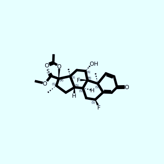 COC(=S)[C@@]1(OC(C)=O)[C@@H](C)C[C@H]2[C@@H]3C[C@H](F)C4=CC(=O)C=C[C@]4(C)[C@@]3(F)[C@@H](O)C[C@@]21C